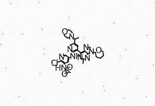 Cc1nc(-c2cc(C(C)N3CCOCC3)cnc2Nc2cnc(Cl)c(NS(C)(=O)=O)c2)c2ncn(C3CCCCO3)c2n1